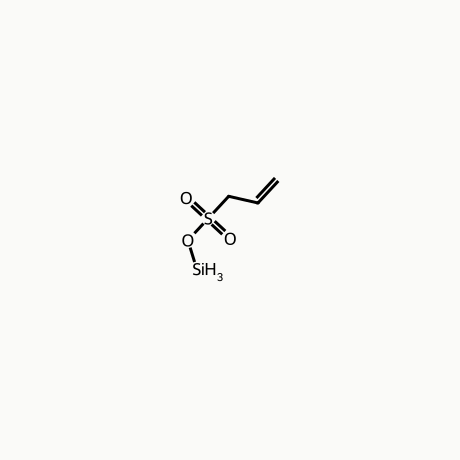 C=CCS(=O)(=O)O[SiH3]